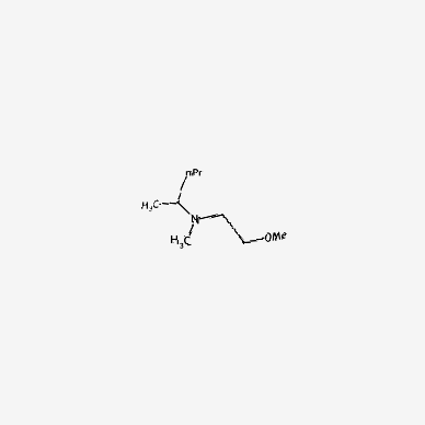 CCCC(C)N(C)CCOC